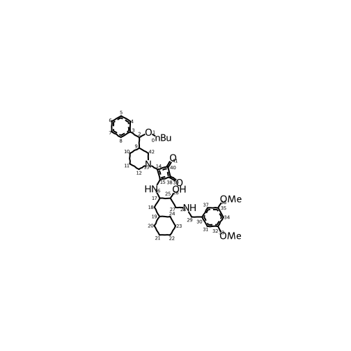 CCCCOC(c1ccccc1)C1CCCN(c2c(NC(CC3CCCCC3)C(O)CNCc3cc(OC)cc(OC)c3)c(=O)c2=O)C1